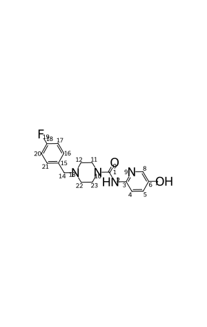 O=C(Nc1ccc(O)cn1)N1CCN(Cc2ccc(F)cc2)CC1